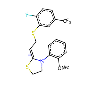 COc1ccccc1N1CCS/C1=C/CSc1cc(C(F)(F)F)ccc1F